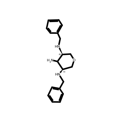 NC1[C@@H](NCc2ccccc2)COC[C@H]1NCc1ccccc1